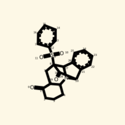 O=C1CCCC2C1CC1(S(=O)(=O)c3ccccc3)C(=O)C3c4ccccc4C1N32